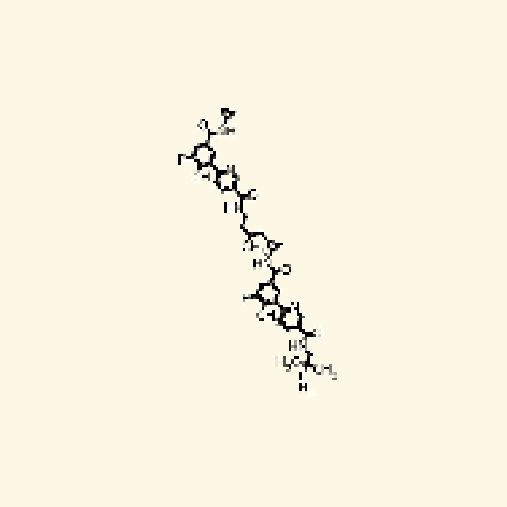 Cc1c(F)cc(C(=O)NC2CC2)cc1-c1ccc(C(=O)NCCC(C)CC2CC2NC(=O)c2cc(F)c(C)c(-c3ccc(C(=O)NCC(C)(C)C)cn3)c2)cn1